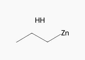 CC[CH2][Zn].[HH]